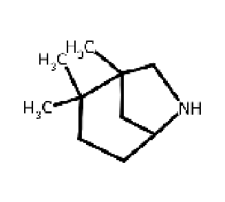 CC1(C)CCC2CC1(C)CN2